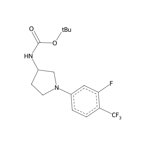 CC(C)(C)OC(=O)NC1CCN(c2ccc(C(F)(F)F)c(F)c2)C1